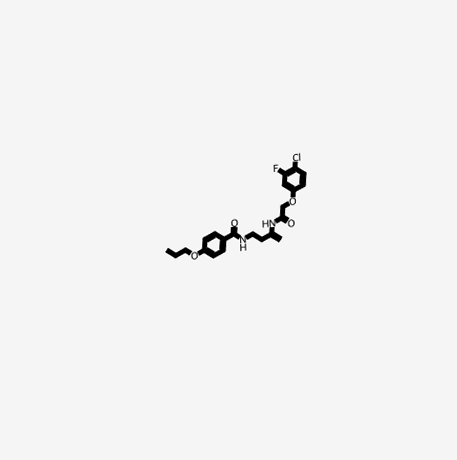 C=C(CCNC(=O)c1ccc(OCCC)cc1)NC(=O)COc1ccc(Cl)c(F)c1